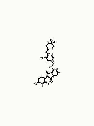 O=C1CCC(N2C(=O)c3cccc(SCc4ccc(CN5CCC(F)(F)CC5)c(F)c4)c3C2=O)C(=O)N1